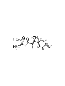 C=C(CC(=O)NC(C)c1ccc(Br)cc1)C(=O)O